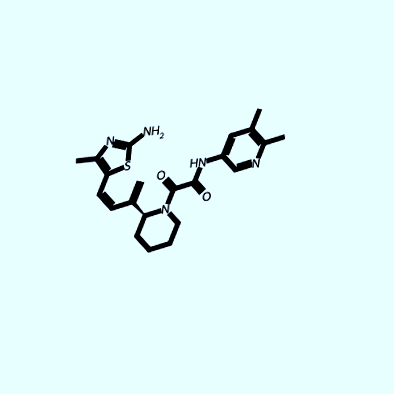 C=C(/C=C\c1sc(N)nc1C)[C@@H]1CCCCN1C(=O)C(=O)Nc1cnc(C)c(C)c1